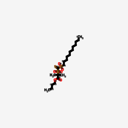 CCCCCCCCCCCCS(=O)(=O)C(=S)S(=O)(=O)C(C)(C)C(=O)OCCCC